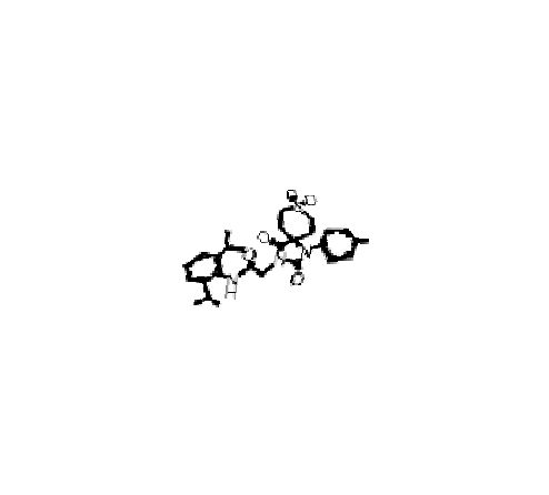 Cc1ccc(N2C(=O)N(CC(=O)Nc3c(C(C)C)cccc3C(C)C)C(=O)C23CCS(=O)(=O)CC3)cc1